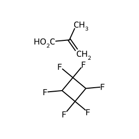 C=C(C)C(=O)O.FC1C(F)(F)C(F)C1(F)F